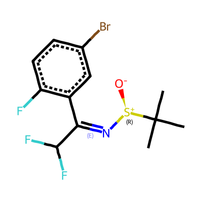 CC(C)(C)[S@+]([O-])/N=C(\c1cc(Br)ccc1F)C(F)F